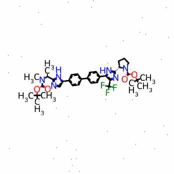 C[C@@H](c1ncc(-c2ccc(-c3ccc(-c4[nH]c([C@@H]5CCCN5C(=O)OC(C)(C)C)nc4C(F)(F)F)cc3)cc2)[nH]1)N(C)C(=O)OC(C)(C)C